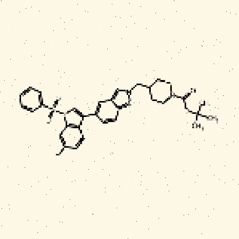 CC(C)(C)OC(=O)N1CCC(Cn2cc3cc(-c4cn(S(=O)(=O)c5ccccc5)c5cc(F)ccc45)ccc3n2)CC1